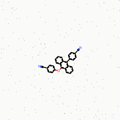 N#Cc1ccc(Oc2c3ccccc3c(-c3ccc(C#N)cc3)c3ccccc23)cc1